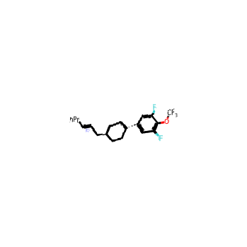 CCC/C=C/C[C@H]1CC[C@H](c2cc(F)c(OC(F)(F)F)c(F)c2)CC1